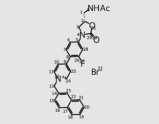 CC(=O)NC[C@H]1CN(c2ccc(-c3cc[n+](Cc4ccc5ccccc5c4)cc3)c(F)c2)C(=O)O1.[Br-]